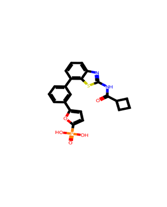 O=C(Nc1nc2cccc(-c3cccc(-c4ccc(P(=O)(O)O)o4)c3)c2s1)C1CCC1